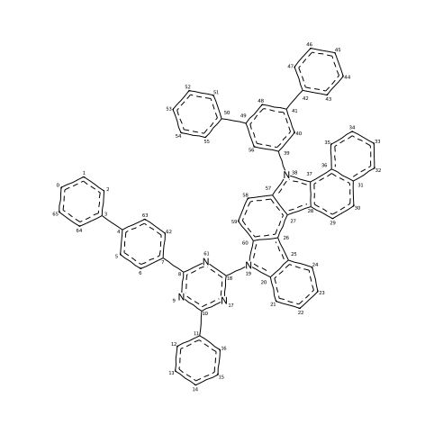 c1ccc(-c2ccc(-c3nc(-c4ccccc4)nc(-n4c5ccccc5c5c6c7ccc8ccccc8c7n(-c7cc(-c8ccccc8)cc(-c8ccccc8)c7)c6ccc54)n3)cc2)cc1